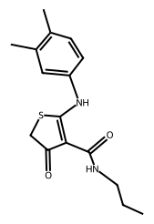 CCCNC(=O)C1=C(Nc2ccc(C)c(C)c2)SCC1=O